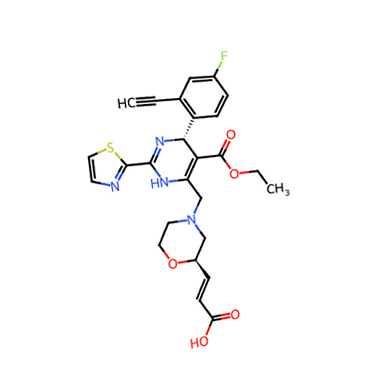 C#Cc1cc(F)ccc1[C@H]1N=C(c2nccs2)NC(CN2CCO[C@H](/C=C/C(=O)O)C2)=C1C(=O)OCC